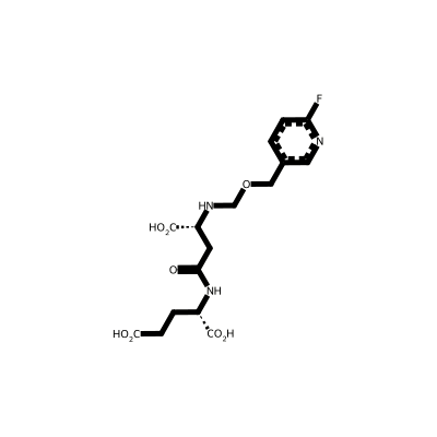 O=C(O)CC[C@H](NC(=O)C[C@@H](NCOCc1ccc(F)nc1)C(=O)O)C(=O)O